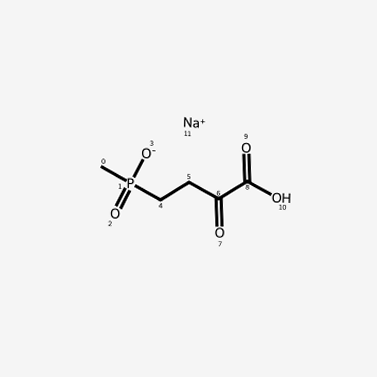 CP(=O)([O-])CCC(=O)C(=O)O.[Na+]